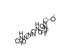 Cc1cccc(C2CCCN(c3nc(C(F)(F)F)c(C(=O)Nc4ccc(N5CCN(C(=O)Nc6ccccc6F)CC5)nc4)o3)C2)c1